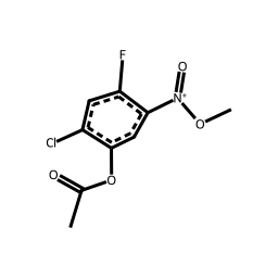 CO[N+](=O)c1cc(OC(C)=O)c(Cl)cc1F